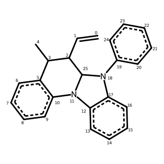 C=CC1C(C)c2ccccc2N2c3ccccc3N(c3ccccc3)C12